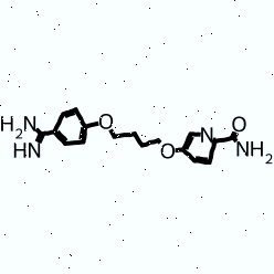 N=C(N)c1ccc(OCCCCOc2ccc(C(N)=O)nc2)cc1